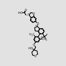 Cc1cc(OCC2(O)CCOCC2)cc(C)c1-c1c(C(F)(F)F)ccc2c1CC[C@H]2Oc1ccc2c(c1)OC[C@H]2CC(=O)O